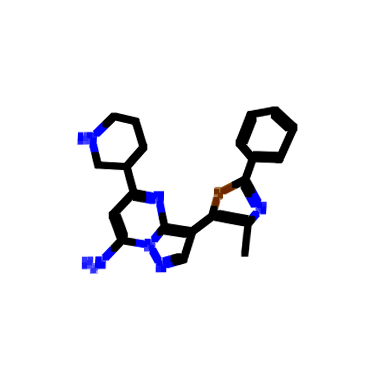 Cc1nc(-c2ccccc2)sc1-c1cnn2c(N)cc(C3CCCNC3)nc12